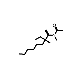 C=C(N(C)C(C)=O)C(C)(CC)CCCCCC